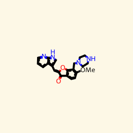 COc1ccc2c(c1CN1CCNCC1)O/C(=C\c1c[nH]c3ncccc13)C2=O